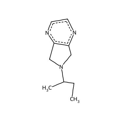 CCC(C)N1Cc2nccnc2C1